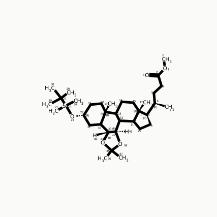 COC(=O)CC[C@@H](C)[C@H]1CCC2C3C(CC[C@@]21C)[C@@]1(C)CC[C@@H](O[Si](C)(C)C(C)(C)C)CC1[C@H]1OC(C)(C)O[C@H]31